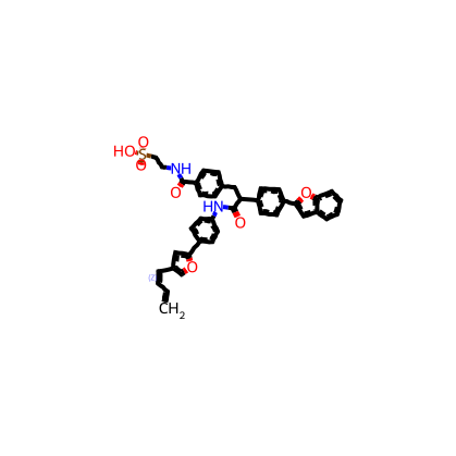 C=C/C=C\c1coc(-c2ccc(NC(=O)C(Cc3ccc(C(=O)NCCS(=O)(=O)O)cc3)c3ccc(-c4cc5ccccc5o4)cc3)cc2)c1